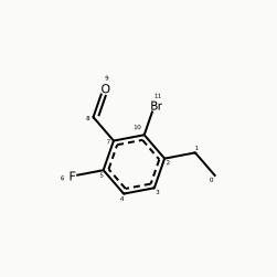 CCc1ccc(F)c(C=O)c1Br